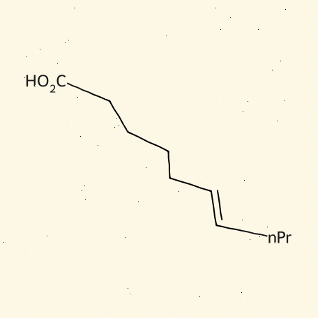 CCCC=CCCCCC(=O)O